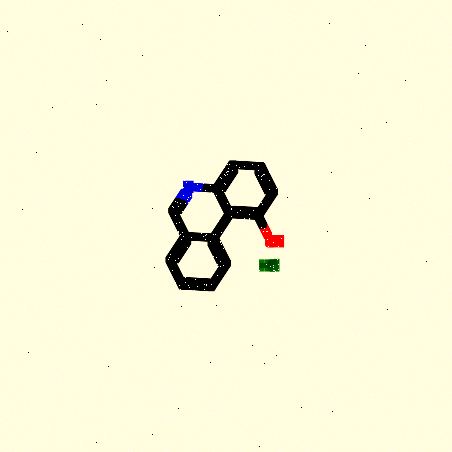 Cl.Oc1cccc2ncc3ccccc3c12